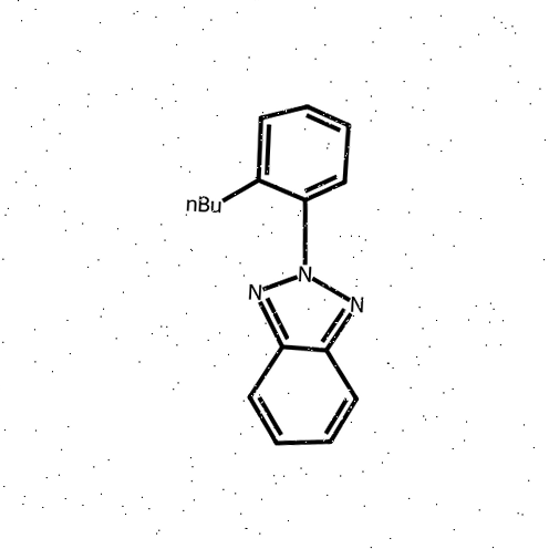 CCCCc1ccccc1-n1nc2ccccc2n1